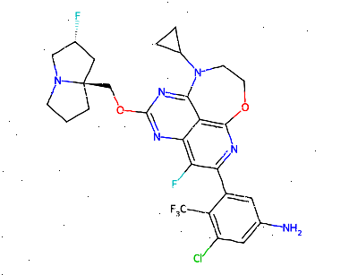 Nc1cc(Cl)c(C(F)(F)F)c(-c2nc3c4c(nc(OC[C@@]56CCCN5C[C@H](F)C6)nc4c2F)N(C2CC2)CCO3)c1